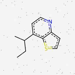 CCC(C)c1ccnc2ccsc12